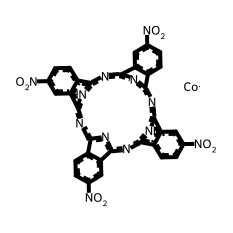 O=[N+]([O-])c1ccc2c(c1)-c1nc-2nc2[nH]c(nc3nc(nc4[nH]c(n1)c1ccc([N+](=O)[O-])cc41)-c1ccc([N+](=O)[O-])cc1-3)c1ccc([N+](=O)[O-])cc21.[Co]